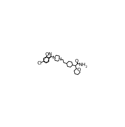 NC(=O)C(C1CCC(CCN2CCN(c3noc4cc(Cl)ccc34)CC2)CC1)C1CCCCO1